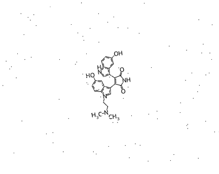 CN(C)CCn1cc(C2=C(c3c[nH]c4ccc(O)cc34)C(=O)NC2=O)c2cc(O)ccc21